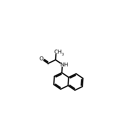 CC([C]=O)Nc1cccc2ccccc12